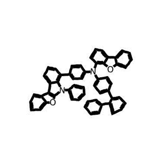 c1ccc(-c2ccccc2-c2ccc(N(c3ccc(-c4cccc5c6c7ccccc7oc6n(-c6ccccc6)c45)cc3)c3cccc4c3oc3ccccc34)cc2)cc1